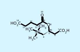 C[N+](C)(C)C[C@@H](CC(=O)O)OC(=O)CCCC(=O)O